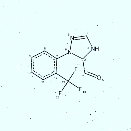 O=CC1NC=NN1c1ccccc1C(F)(F)F